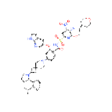 CC(C)c1ccccc1[C@H]1CCCN1C1CC2(CCN(c3ccc(C(=O)NS(=O)(=O)c4cc([N+](=O)[O-])c5c(n4)OC[C@H](C4CCOCC4)N5)c(Oc4cnc5[nH]ccc5c4)c3)CC2)C1